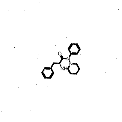 N[C@@H](Cc1ccccc1)C(=O)N(c1ccccc1)N1CCCCC1